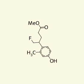 COC(=O)CCC(CF)c1ccc(O)cc1C